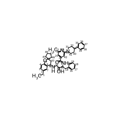 CCc1ccc2c(c1)[C@@H](NC[C@@H](O)[C@H](Cc1ccccc1)NC(=O)c1cc(C)nc(N3CCC(c4ccccc4)CC3)c1)CC1(CCCC1)O2